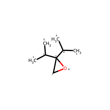 CC(C)C1(C(C)C)CO1